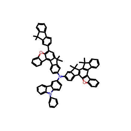 CC1(C)c2ccccc2-c2ccc(-c3cc4c(c5c3oc3ccccc35)-c3ccc(N(c5ccc6c(c5)C(C)(C)c5c7c(c8c(oc9ccccc98)c5-6)-c5ccccc5C7(C)C)c5ccc6c(c5)c5ccccc5n6-c5ccccc5)cc3C4(C)C)cc21